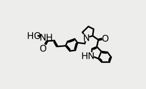 O=C(C=Cc1ccc(CN2CCCC2C(=O)c2c[nH]c3ccccc23)cc1)NO